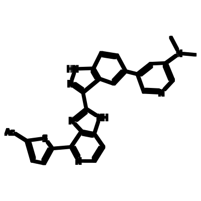 CC(=O)c1ccc(-c2nccc3[nH]c(-c4n[nH]c5ccc(-c6cncc(N(C)C)c6)cc45)nc23)s1